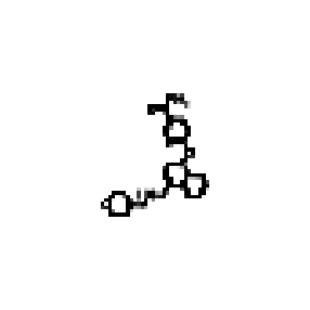 NC(=O)c1ccc(Oc2ccc(CNCC3CCOCC3)c3ccccc23)nc1